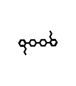 CCCc1ccccc1C1CCC(C2CCC(c3ccccc3CCC)CC2)CC1